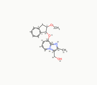 COC1Cc2ccccc2C1Oc1cccn2c(CO)c(C)nc12